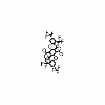 O=c1oc(=O)c2c(Oc3cc(C(F)(F)F)cc(C(F)(F)F)c3)c3c(=O)oc(=O)c3c(Oc3cc(C(F)(F)F)cc(C(F)(F)F)c3)c12